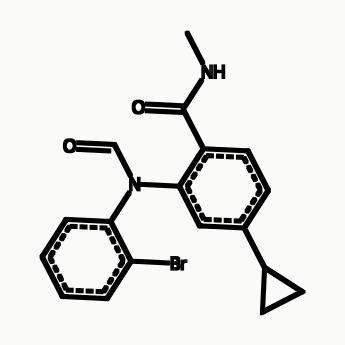 CNC(=O)c1ccc(C2CC2)cc1N(C=O)c1ccccc1Br